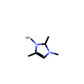 CCCN1C(C)=CN(C)C1C